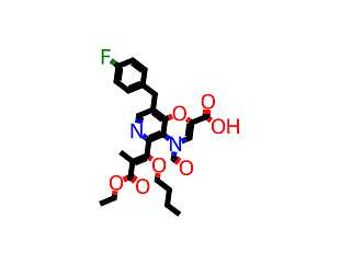 CCCCO/C(=C(/C)C(=O)OCC)c1ncc(Cc2ccc(F)cc2)c2c1N(C=O)C=C(C(=O)O)O2